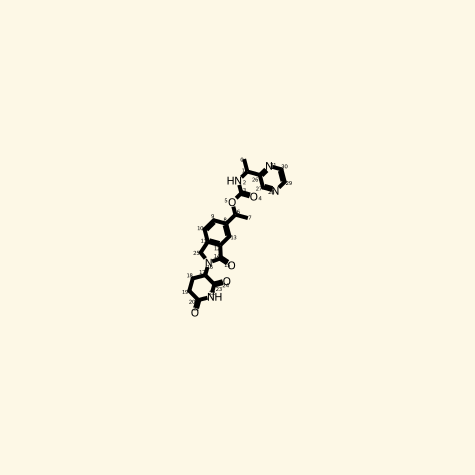 CC(NC(=O)OC(C)c1ccc2c(c1)C(=O)N(C1CCC(=O)NC1=O)C2)c1cnccn1